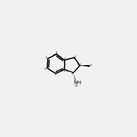 C[C@@H]1Cc2ccccc2[C@H]1[NH]